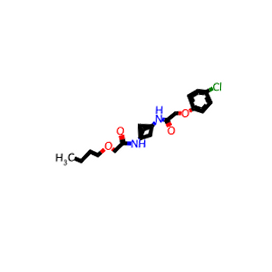 CCCCOCC(=O)NC12CC(NC(=O)COc3ccc(Cl)cc3)(C1)C2